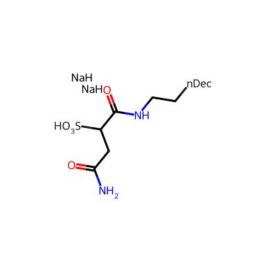 CCCCCCCCCCCCNC(=O)C(CC(N)=O)S(=O)(=O)O.[NaH].[NaH]